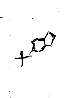 CC(C)(C)Nc1ccc2ncoc2c1